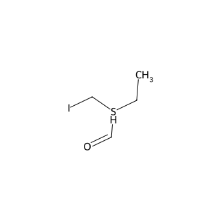 CC[SH](C=O)CI